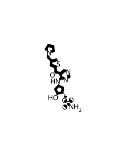 NS(=O)(=O)OC[C@H]1C[C@@H](Nc2ncncc2C(=O)c2cc(CN3CC=CC3)cs2)C[C@@H]1O